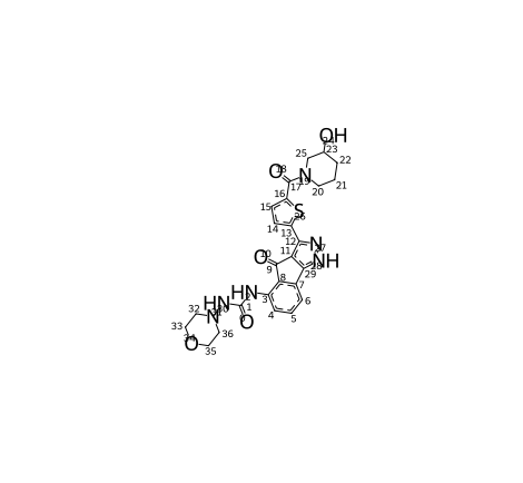 O=C(Nc1cccc2c1C(=O)c1c(-c3ccc(C(=O)N4CCCC(O)C4)s3)n[nH]c1-2)NN1CCOCC1